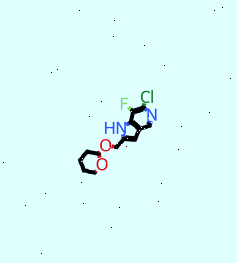 Fc1c(Cl)ncc2cc(COC3CCCCO3)[nH]c12